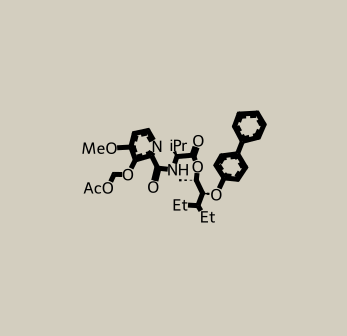 CCC(CC)[C@@H](Oc1ccc(-c2ccccc2)cc1)[C@H](C)OC(=O)[C@@H](NC(=O)c1nccc(OC)c1OCOC(C)=O)C(C)C